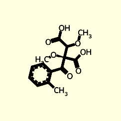 COC(C(=O)O)[C@](OC)(C(=O)O)C(=O)c1ccccc1C